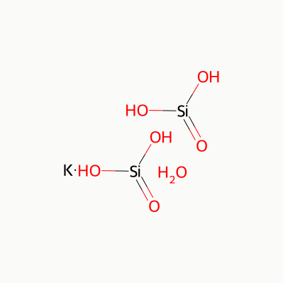 O.O=[Si](O)O.O=[Si](O)O.[K]